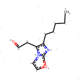 CCCCCc1nc2occn2c1CC=O